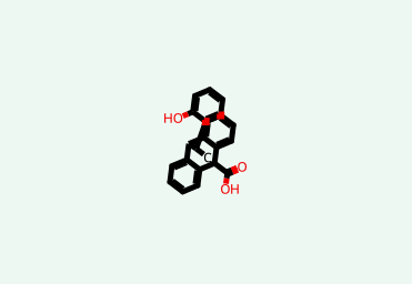 O=C(O)C12CC(c3ccccc3O)C(c3ccccc31)c1ccccc12